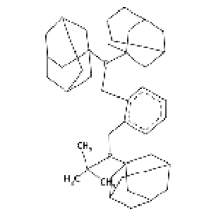 CC(C)(C)P(Cc1ccccc1CP(C12CC3CC(CC(C3)C1)C2)C12CC3CC(CC(C3)C1)C2)C12CC3CC(CC(C3)C1)C2